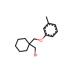 Cc1cccc(OCC2(CBr)CCCCC2)c1